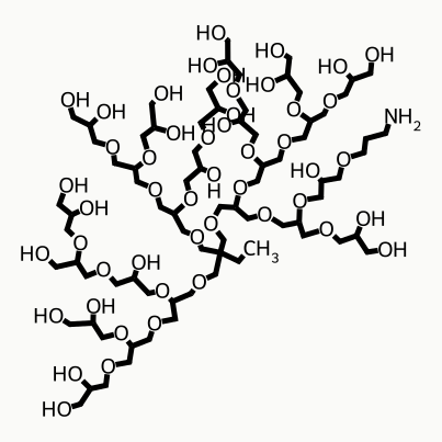 CCC(COCC(COCC(COCC(O)CO)OCC(O)CO)OCC(O)COCC(O)CO)(COCC(COCC(COCC(O)CO)OCC(O)CO)OCC(O)COCC(CO)OCC(O)CO)COCC(COCC(COCC(O)CO)OCC(O)COCCCN)OCC(COCC(COCC(O)CO)OCC(O)CO)OCC(O)COCC(O)CO